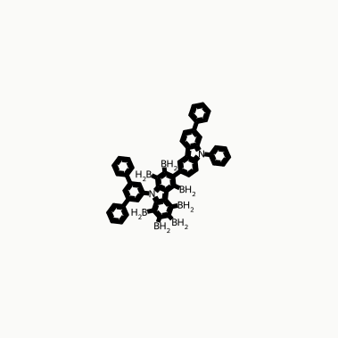 Bc1c(B)c(B)c2c(c1B)c1c(B)c(-c3ccc4c(c3)c3ccc(-c5ccccc5)cc3n4-c3ccccc3)c(B)c(B)c1n2-c1cc(-c2ccccc2)cc(-c2ccccc2)c1